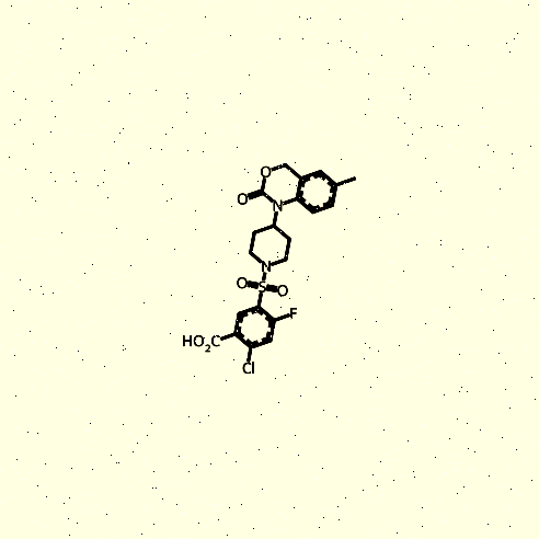 Cc1ccc2c(c1)COC(=O)N2C1CCN(S(=O)(=O)c2cc(C(=O)O)c(Cl)cc2F)CC1